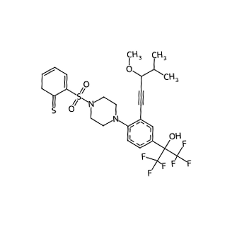 COC(C#Cc1cc(C(O)(C(F)(F)F)C(F)(F)F)ccc1N1CCN(S(=O)(=O)C2=CC=CCC2=S)CC1)C(C)C